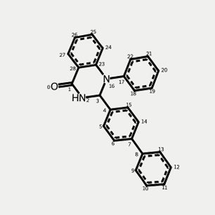 O=C1NC(c2ccc(-c3ccccc3)cc2)N(c2ccccc2)c2ccccc21